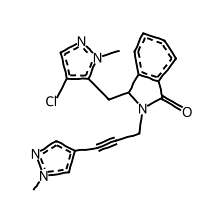 Cn1cc(C#CCN2C(=O)c3ccccc3C2Cc2c(Cl)cnn2C)cn1